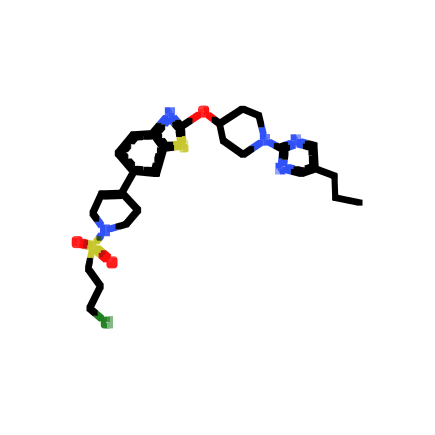 CCCc1cnc(N2CCC(Oc3nc4ccc(C5=CCN(S(=O)(=O)CCCCl)CC5)cc4s3)CC2)nc1